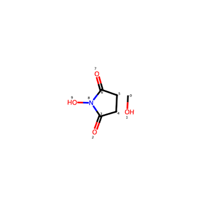 CO.O=C1CCC(=O)N1O